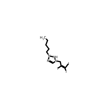 CCCCCN1N=CN(CC(I)=C(I)I)N1